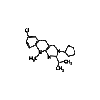 CC(C)C1=NC2=C(Cc3cc(Cl)ccc3N2C)CN1C1CCCC1